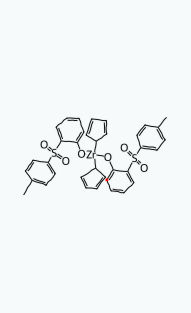 Cc1ccc(S(=O)(=O)c2ccccc2[O][Zr]([O]c2ccccc2S(=O)(=O)c2ccc(C)cc2)([CH]2C=CC=C2)[CH]2C=CC=C2)cc1